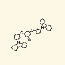 Brc1cc(Oc2cccc(-n3c4ccccc4c4ccccc43)c2)cc(Oc2cccc(-n3c4ccccc4c4ccccc43)c2)c1